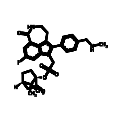 CNCc1ccc(-c2c3c4c(cc(F)cc4n2CS(=O)(=O)O[C@]24CC[C@H](CC2=O)C4(C)C)C(=O)NCC3)cc1